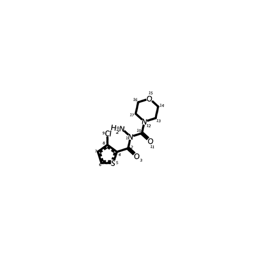 NN(C(=O)c1sccc1Cl)C(=O)N1CCOCC1